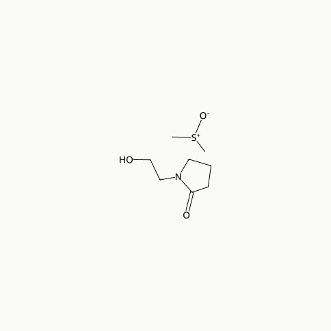 C[S+](C)[O-].O=C1CCCN1CCO